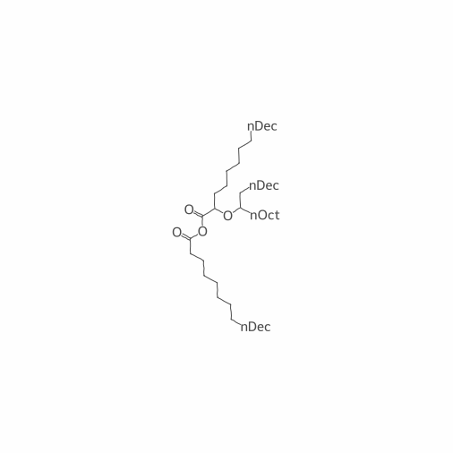 CCCCCCCCCCCCCCCCCC(=O)OC(=O)C(CCCCCCCCCCCCCCCC)OC(CCCCCCCC)CCCCCCCCCCC